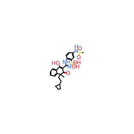 CC1(CCC2CCC2)C(=O)C(C2=NS(O)(O)c3cc(NS(C)(=O)=O)ccc3N2)=C(O)c2ccccc21